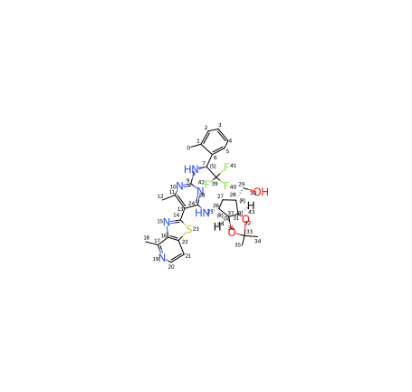 Cc1ccccc1[C@H](Nc1nc(C)c(-c2nc3c(C)nccc3s2)c(N[C@@H]2C[C@H](CO)[C@H]3OC(C)(C)O[C@H]32)n1)C(F)(F)F